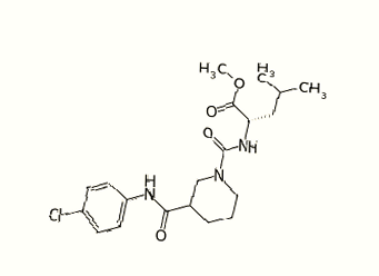 COC(=O)[C@H](CC(C)C)NC(=O)N1CCCC(C(=O)Nc2ccc(Cl)cc2)C1